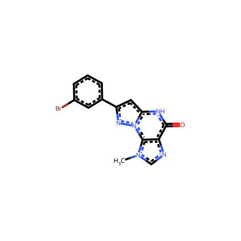 Cn1cnc2c(=O)[nH]c3cc(-c4cccc(Br)c4)nn3c21